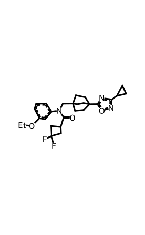 CCOc1cccc(N(CC23CCC(c4nc(C5CC5)no4)(CC2)CC3)C(=O)C2CC(F)(F)C2)c1